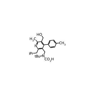 Cc1ccc(-c2c(CO)c(C)nc(CC(C)C)c2CN(C(=O)O)C(C)(C)C)cc1